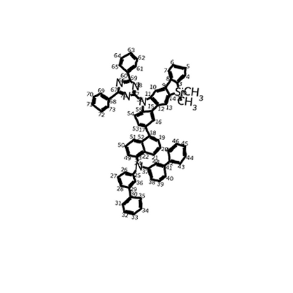 C[Si]1(C)c2ccccc2-c2cc3c(cc21)c1cc(-c2cccc4c(N(c5cccc(-c6ccccc6)c5)c5cccc(-c6ccccc6)c5)cccc24)ccc1n3-c1nc(-c2ccccc2)nc(-c2ccccc2)n1